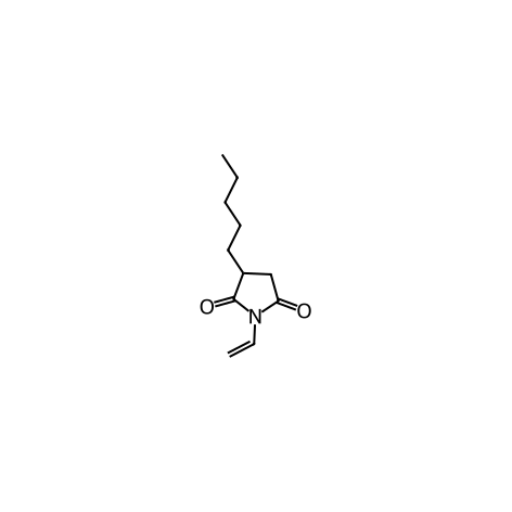 C=CN1C(=O)CC(CCCCC)C1=O